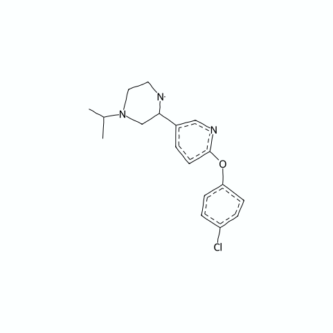 CC(C)N1CC[N]C(c2ccc(Oc3ccc(Cl)cc3)nc2)C1